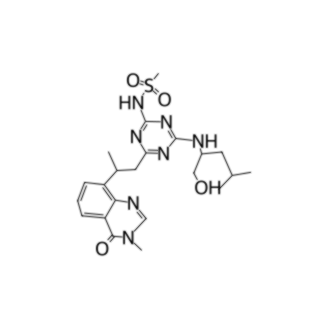 CC(C)CC(CO)Nc1nc(CC(C)c2cccc3c(=O)n(C)cnc23)nc(NS(C)(=O)=O)n1